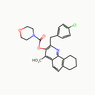 O=C(O)c1c(OC(=O)N2CCOCC2)c(Cc2ccc(Cl)cc2)nc2c3c(ccc12)CCCC3